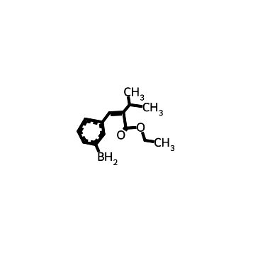 Bc1cccc(C=C(C(=O)OCC)C(C)C)c1